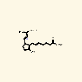 CCCCCC(O)/C=C/C1CCC(O)C1C/C=C/CCCC(=O)OC